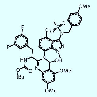 COc1ccc(CN(c2nn(C)c3c(N4C([C@H](Cc5cc(F)cc(F)c5)NC(=O)OC(C)(C)C)=Nc5cc(OC)cc(OC)c5C4O)ccc(Cl)c23)S(C)(=O)=O)cc1